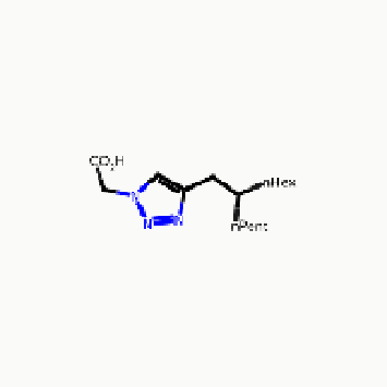 CCCCCCC(CCCCC)Cc1cn(CC(=O)O)nn1